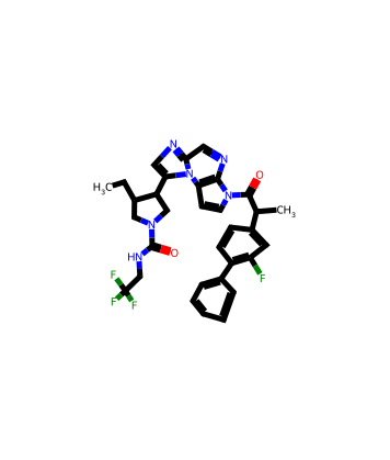 CCC1CN(C(=O)NCC(F)(F)F)CC1c1cnc2cnc3c(ccn3C(=O)C(C)c3ccc(-c4ccccc4)c(F)c3)n12